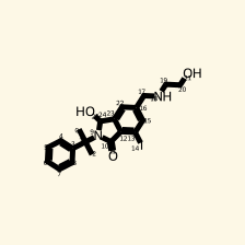 CC(C)(c1ccccc1)N1C(=O)c2c(I)cc(CNCCO)cc2C1O